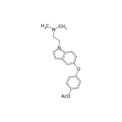 CC(=O)Oc1ccc(Oc2ccc3c(ccn3CCN(C)C)c2)cc1